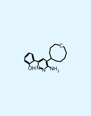 Nc1nnc(-c2ccccc2O)cc1C1CCCCCCCCC1